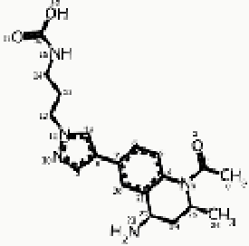 CC(=O)N1c2ccc(-c3cnn(CCCNC(=O)O)c3)cc2[C@H](N)C[C@@H]1C